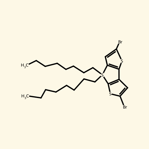 CCCCCCCCS1(CCCCCCCC)c2cc(Br)sc2-c2cc(Br)sc21